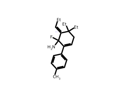 CC/C=C1\C(CC)(CC)CC=C(c2ccc(C)cc2)C1(N)F